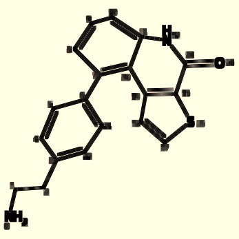 NCCc1ccc(-c2cccc3[nH]c(=O)c4sccc4c23)cc1